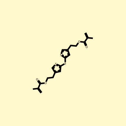 C=C(C)C(=O)OCCc1csc(Sc2cc(CCOC(=O)C(=C)C)cs2)c1